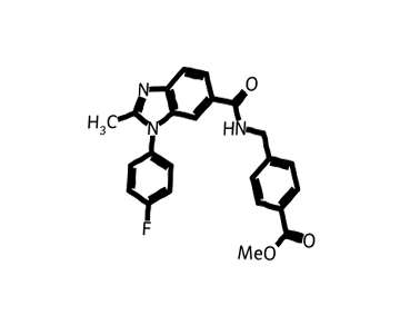 COC(=O)c1ccc(CNC(=O)c2ccc3nc(C)n(-c4ccc(F)cc4)c3c2)cc1